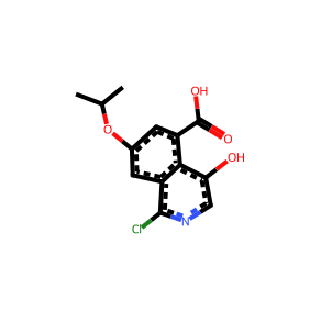 CC(C)Oc1cc(C(=O)O)c2c(O)cnc(Cl)c2c1